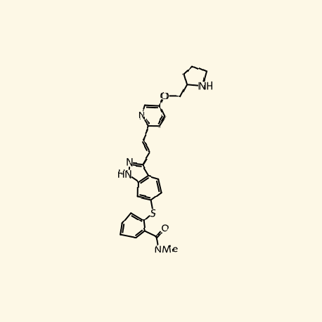 CNC(=O)c1ccccc1Sc1ccc2c(/C=C/c3ccc(OCC4CCCN4)cn3)n[nH]c2c1